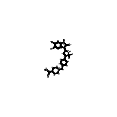 CC1(C)OC(=C2C(=O)Nc3cc(F)c(F)cc32)C=C1c1ccc(CN2CCC(C(=O)O)CC2)cc1